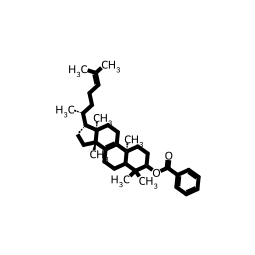 CC(C)=CCC[C@@H](C)[C@H]1CC[C@@]2(C)C3=C(CC[C@]12C)[C@@]1(C)CCC(OC(=O)c2ccccc2)C(C)(C)C1CC3